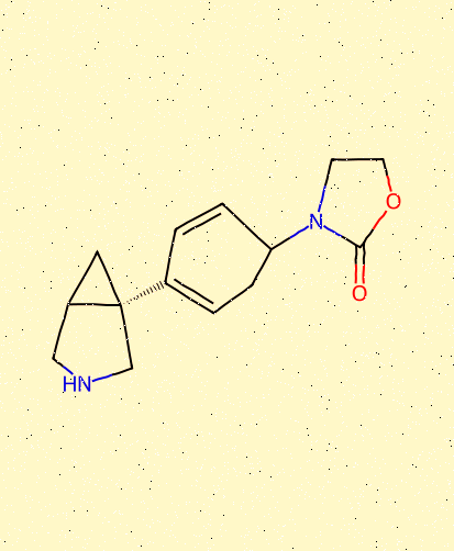 O=C1OCCN1C1C=CC([C@]23CNCC2C3)=CC1